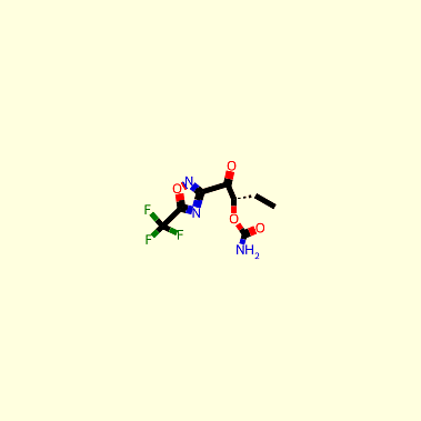 CC[C@H](OC(N)=O)C(=O)c1noc(C(F)(F)F)n1